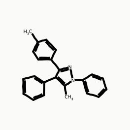 Cc1ccc(-c2nn(-c3ccccc3)c(C)c2-c2ccccc2)cc1